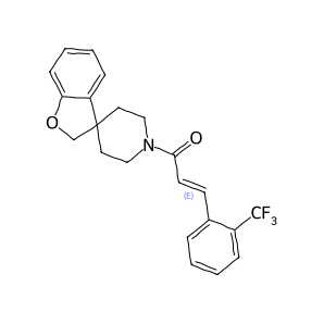 O=C(/C=C/c1ccccc1C(F)(F)F)N1CCC2(CC1)COc1ccccc12